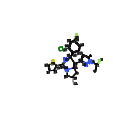 CC(F)n1ccc(C2=C3C[C@H](C)CN3C(C3CC=CS3)=N[C@H]2c2ccc(F)cc2Cl)n1